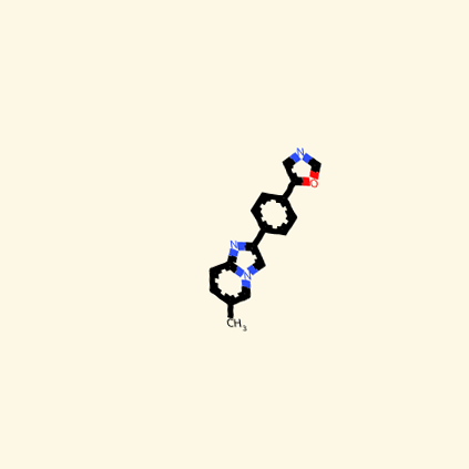 Cc1ccc2nc(-c3ccc(-c4cnco4)cc3)cn2c1